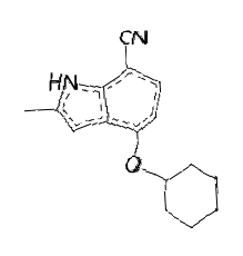 Cc1cc2c(OC3CCCCC3)ccc(C#N)c2[nH]1